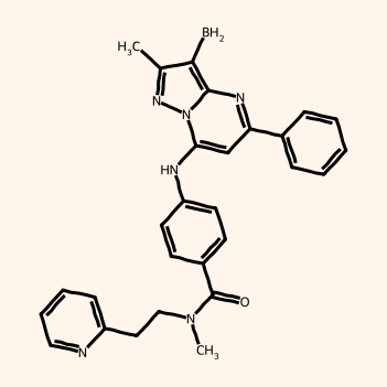 Bc1c(C)nn2c(Nc3ccc(C(=O)N(C)CCc4ccccn4)cc3)cc(-c3ccccc3)nc12